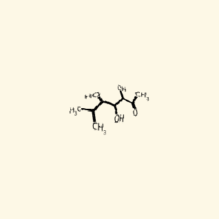 CC(=O)C(O)C(O)C(O)C(C)C